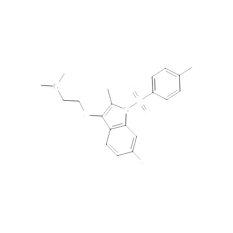 Cc1ccc(S(=O)(=O)n2c(C)c(OCCN(C)C)c3ccc(Cl)cc32)cc1